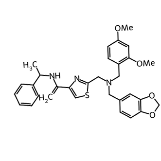 C=C(NC(C)c1ccccc1)c1csc(CN(Cc2ccc3c(c2)OCO3)Cc2ccc(OC)cc2OC)n1